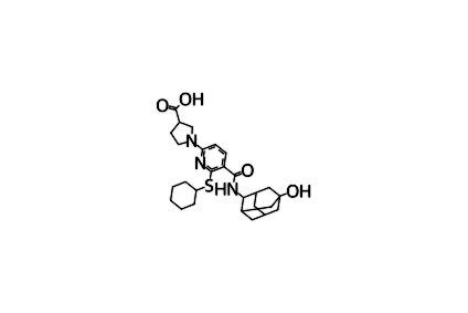 O=C(NC1C2CC3CC1CC(O)(C3)C2)c1ccc(N2CCC(C(=O)O)C2)nc1SC1CCCCC1